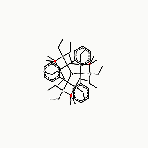 CC[Si](CC)(CC)[C](c1ccccc1)([Cr]([C](c1ccccc1)([Si](CC)(CC)CC)[Si](CC)(CC)CC)[C](c1ccccc1)([Si](CC)(CC)CC)[Si](CC)(CC)CC)[Si](CC)(CC)CC